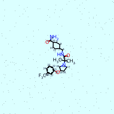 CC(C)(C(=O)NCC1CCC(C(N)=O)CC1)N1CCC(Oc2cccc(C(F)(F)F)c2)C1